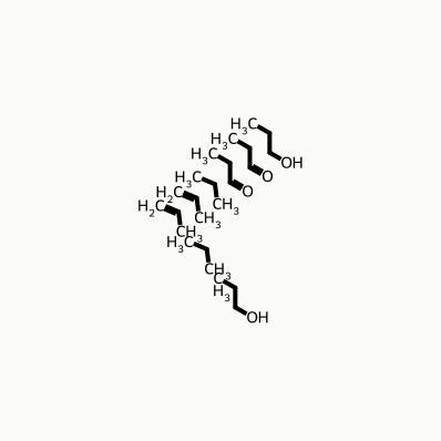 C=CC.C=CC.CCC.CCC.CCC=O.CCC=O.CCCO.CCCO